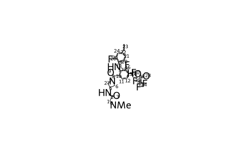 CNCC(=O)NC1CN(C(=O)c2ccc(F)c(F)c2Nc2ccc(I)cc2F)C1.O=C(O)C(F)(F)F